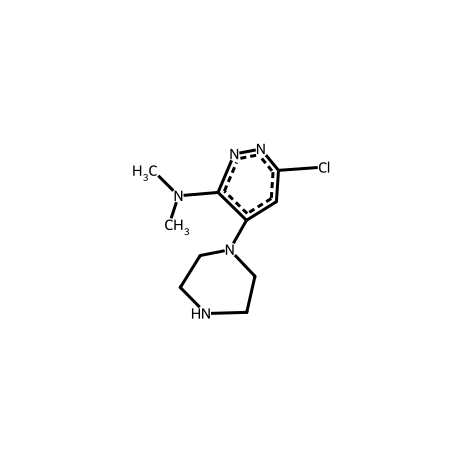 CN(C)c1nnc(Cl)cc1N1CCNCC1